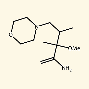 C=C(N)C(C)(OC)C(C)CN1CCOCC1